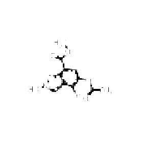 COC(=O)c1cc(OC(C)=O)c(Br)c2cn(C)nc12